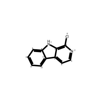 Clc1nccc2c1[nH]c1ccccc12